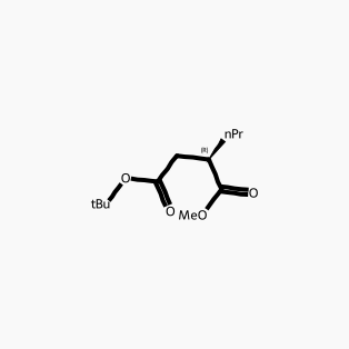 CCC[C@H](CC(=O)OC(C)(C)C)C(=O)OC